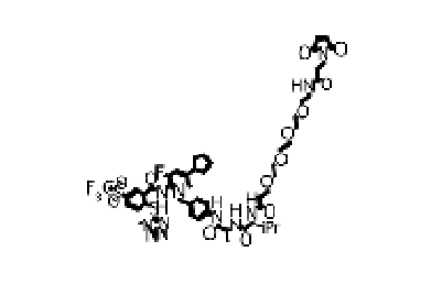 CC(C)[C@H](NC(=O)CCOCCOCCOCCOCCNC(=O)CCN1C(=O)C=CC1=O)C(=O)N[C@@H](C)C(=O)Nc1ccc(C[n+]2cc(C3CCCC3)cc(F)c2NC(=O)c2cc(S(=O)(=O)C(F)(F)F)ccc2Sc2nnnn2C)cc1